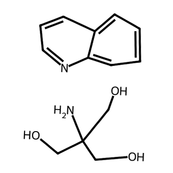 NC(CO)(CO)CO.c1ccc2ncccc2c1